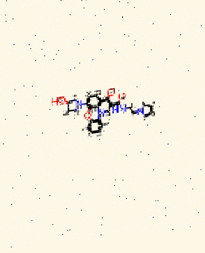 O=C(NCCN1CCCC1)c1cn2c3c(c(N4CCC(O)C4)ccc3c1=O)Oc1ccccc1-2